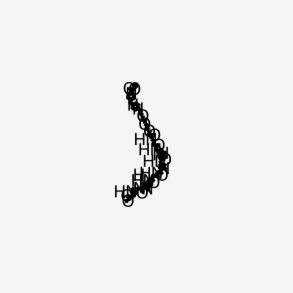 COC(=O)Cc1cc(NC(=O)c2nc(NC(=O)CCNC(=O)c3cc(NC(=O)c4nc(NC(=O)CCNC(=O)COCCOCCOCCN5CCN(CC6CCN(C(=O)OC(C)(C)C)CC6)CC5)cn4C)cn3C)cn2C)c[nH]1